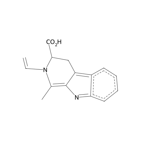 C=CN1C(C)=C2N=c3ccccc3=C2CC1C(=O)O